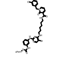 CCCCCOC(=O)Nc1cccc(Nc2ncc(Br)c(NCCCCCCNC(=O)c3cccn(Cc4cccc(Cl)c4)c3=O)n2)c1